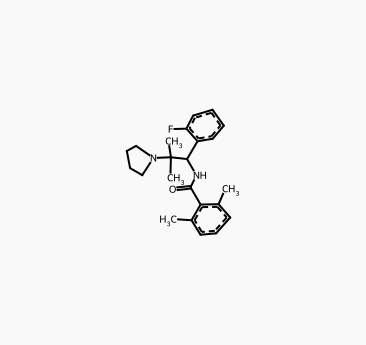 Cc1cccc(C)c1C(=O)NC(c1ccccc1F)C(C)(C)N1CCCC1